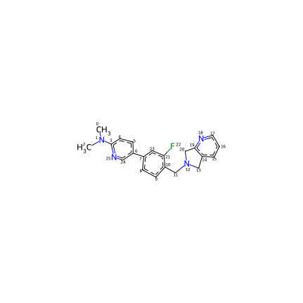 CN(C)c1ccc(-c2ccc(CN3Cc4cccnc4C3)c(F)c2)cn1